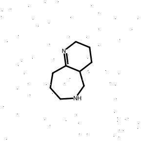 C1CNCC2CCCN=C2C1